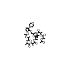 CC(=O)OC(C)C(=O)OC(C)C(=O)OC(C)C(=O)OC(C)C(=O)OC(COc1nsnc1N1CCOCC1)CN(C(=O)C(C)OC(=O)C(C)OC(C)=O)C(C)(C)C